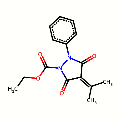 CCOC(=O)N1C(=O)C(=C(C)C)C(=O)N1c1ccccc1